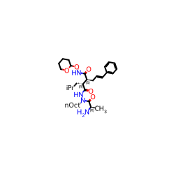 CCCCCCCCN(NC(=O)[C@H](CC(C)C)[C@H](CC=Cc1ccccc1)C(=O)NOC1CCCCO1)C(=O)[C@@H](C)N